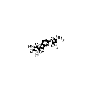 Cc1cc(N)nn1-c1ccc2oc([C@]3(O)NC(=O)NC3=O)cc2n1